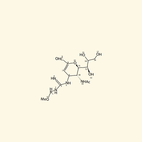 COBNC(=N)NC1C=C(C=O)O[C@@H]([C@H](O)C(O)CO)[C@@H]1NC(C)=O